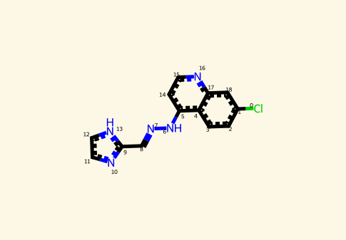 Clc1ccc2c(N/N=C/c3ncc[nH]3)ccnc2c1